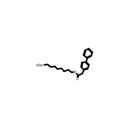 CCCCCCCCCCCCCCCCCCOC(=O)Cc1ccc(-c2ccccc2)cc1